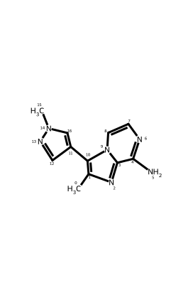 Cc1nc2c(N)nccn2c1-c1cnn(C)c1